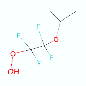 CC(C)OC(F)(F)C(F)(F)OO